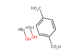 CCCCCCCCO.CCCCO.O=C(O)c1ccc(C(=O)O)cc1